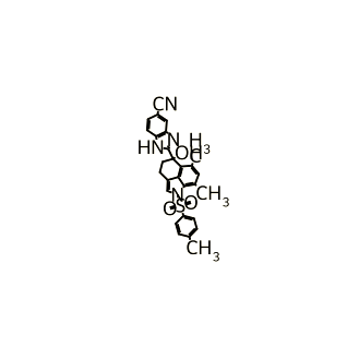 Cc1ccc(S(=O)(=O)n2cc3c4c(c(C)cc(C)c42)C(O)(c2nc4cc(C#N)ccc4[nH]2)CC3)cc1